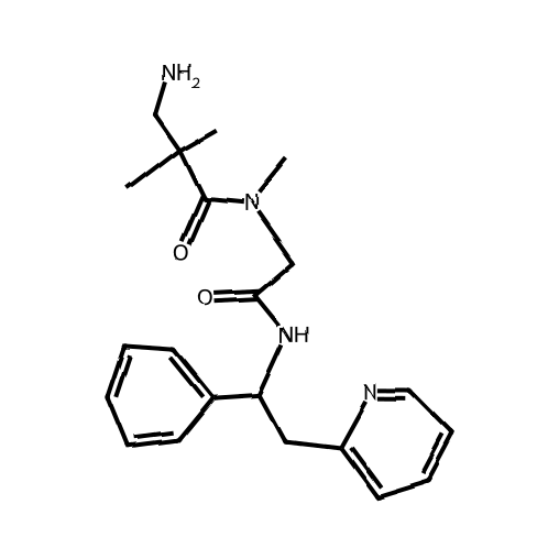 CN(CC(=O)NC(Cc1ccccn1)c1ccccc1)C(=O)C(C)(C)CN